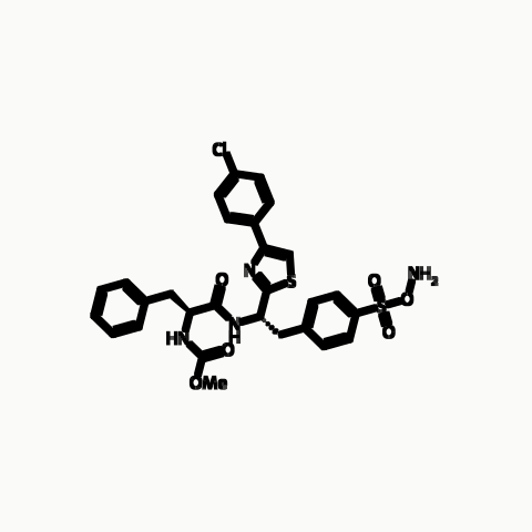 COC(=O)N[C@@H](Cc1ccccc1)C(=O)N[C@@H](Cc1ccc(S(=O)(=O)ON)cc1)c1nc(-c2ccc(Cl)cc2)cs1